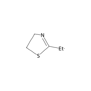 C[CH]C1=NCCS1